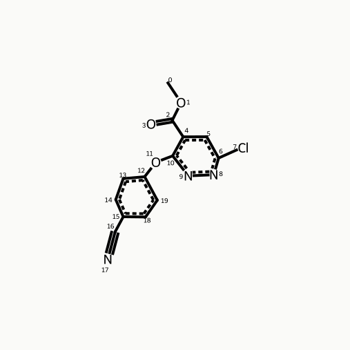 COC(=O)c1cc(Cl)nnc1Oc1ccc(C#N)cc1